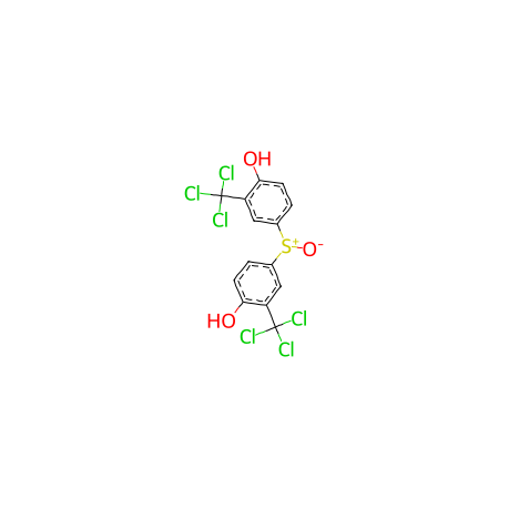 [O-][S+](c1ccc(O)c(C(Cl)(Cl)Cl)c1)c1ccc(O)c(C(Cl)(Cl)Cl)c1